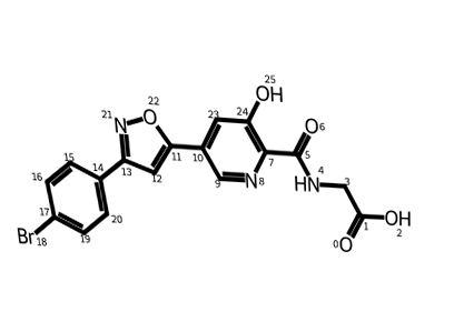 O=C(O)CNC(=O)c1ncc(-c2cc(-c3ccc(Br)cc3)no2)cc1O